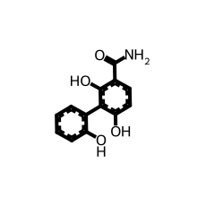 NC(=O)c1ccc(O)c(-c2ccccc2O)c1O